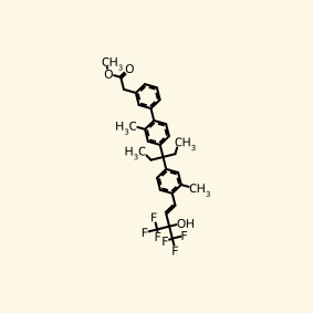 CCC(CC)(c1ccc(C=CC(O)(C(F)(F)F)C(F)(F)F)c(C)c1)c1ccc(-c2cccc(CC(=O)OC)c2)c(C)c1